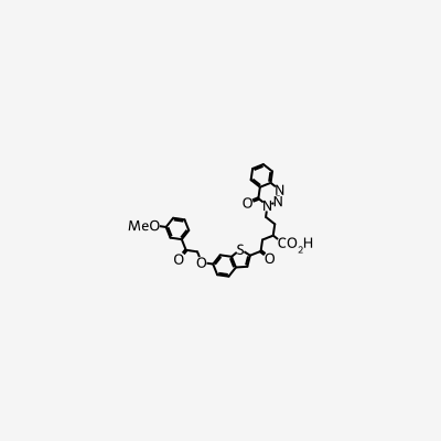 COc1cccc(C(=O)COc2ccc3cc(C(=O)CC(CCn4nnc5ccccc5c4=O)C(=O)O)sc3c2)c1